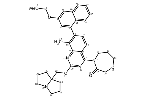 COCOc1cc(-c2ccc3c(N4CCCOCC4=O)nc(OCC45CCCN4CCC5)nc3c2C)c2ccccc2c1